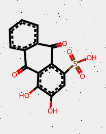 O=C1c2ccccc2C(=O)c2c(O)c(O)cc(S(=O)(=O)O)c21